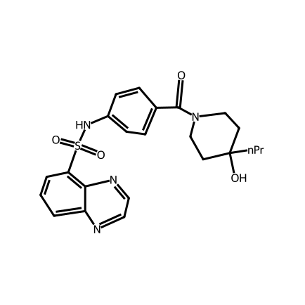 CCCC1(O)CCN(C(=O)c2ccc(NS(=O)(=O)c3cccc4nccnc34)cc2)CC1